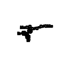 COCCOCCOCCOc1ccc(-n2c3ccc(Br)cc3c3cc(Br)ccc32)cc1C(=O)OC